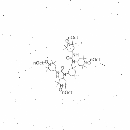 CCCCCCCCON1C(C)(C)CC(NC(=O)N(CC2(C)CC(N(C(=O)NC3CC(C)(C)N(OCCCCCCCC)C(C)(C)C3)C3CC(C)(C)N(OCCCCCCCC)C(C)(C)C3)CC(C)(C)C2)C2CC(C)(C)N(OCCCCCCCC)C(C)(C)C2)CC1(C)C